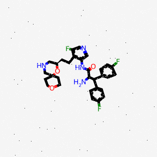 NC(C(=O)Nc1cncc(F)c1CC[C@@H]1CNCC2(CCOCC2)O1)C(c1ccc(F)cc1)c1ccc(F)cc1